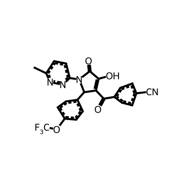 Cc1ccc(N2C(=O)C(O)=C(C(=O)c3ccc(C#N)cc3)C2c2ccc(OC(F)(F)F)cc2)nn1